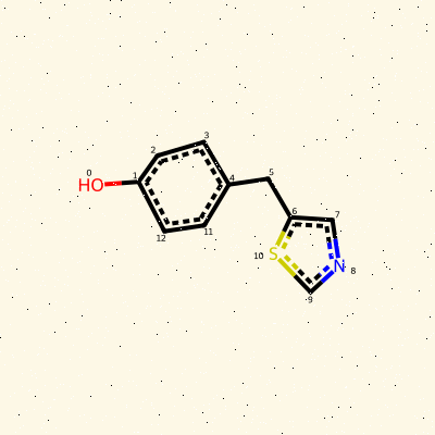 Oc1ccc(Cc2cncs2)cc1